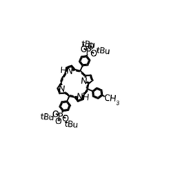 Cc1ccc(-c2c3nc(c(-c4ccc(P(=O)(OC(C)(C)C)OC(C)(C)C)cc4)c4ccc(cc5nc(c(-c6ccc(P(=O)(OC(C)(C)C)OC(C)(C)C)cc6)c6ccc2[nH]6)C=C5)[nH]4)C=C3)cc1